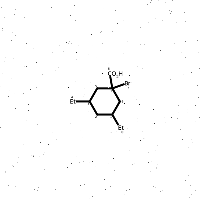 CCC1CC(CC)CC(Br)(C(=O)O)C1